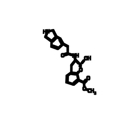 COC(=O)c1cccc2c1OB(O)C(NC(=O)Cc1ccc3c(c1)CNC3)C2